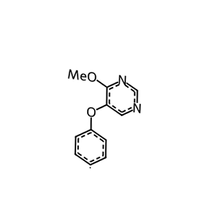 COc1ncncc1Oc1cc[c]cc1